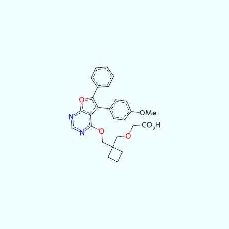 COc1ccc(-c2c(-c3ccccc3)oc3ncnc(OCC4(COCC(=O)O)CCC4)c23)cc1